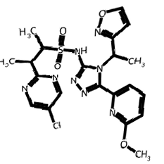 COc1cccc(-c2nnc(NS(=O)(=O)C(C)C(C)c3ncc(Cl)cn3)n2C(C)c2ccon2)n1